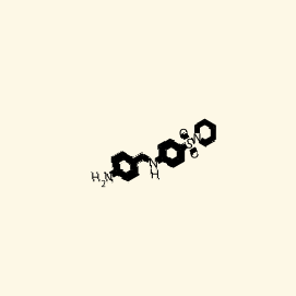 Nc1ccc(CNc2ccc(S(=O)(=O)N3CCCCC3)cc2)cc1